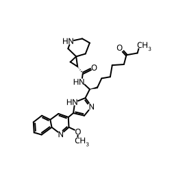 CCC(=O)CCCCC[C@H](NC(=O)[C@@H]1CC12CCCNC2)c1ncc(-c2cc3ccccc3nc2OC)[nH]1